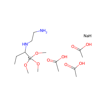 CC(=O)O.CC(=O)O.CC(=O)O.CCC(NCCN)[Si](OC)(OC)OC.[NaH]